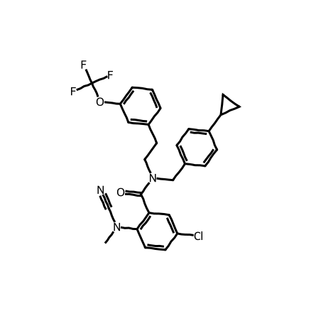 CN(C#N)c1ccc(Cl)cc1C(=O)N(CCc1cccc(OC(F)(F)F)c1)Cc1ccc(C2CC2)cc1